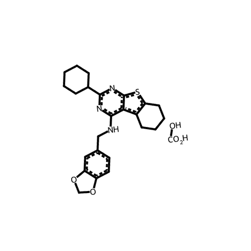 O=C(O)O.c1cc2c(cc1CNc1nc(C3CCCCC3)nc3sc4c(c13)CCCC4)OCO2